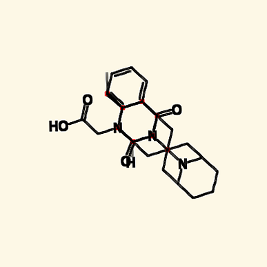 CC[C@H]1CC2CC(N3C4CCCC3CC(n3c(=O)c5ccccc5n(CC(=O)O)c3=O)C4)C[C@H](C2)C1